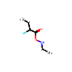 CCNOC(=O)C(F)CC